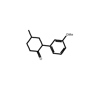 COc1cccc(C2CC(C)CCC2=O)c1